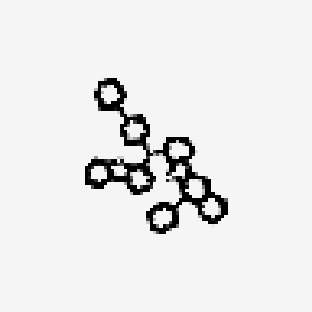 c1ccc(-c2ccc(N(c3cccc4c3oc3c(-c5ccccc5)c5ccccc5cc34)c3cccc4c3sc3ccccc34)cc2)cc1